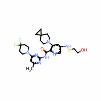 Cc1cc(N2CCC(F)(F)CC2)nc(NC(=O)c2ncc(NSCCO)cc2N2CCC3(CC2)CC3)n1